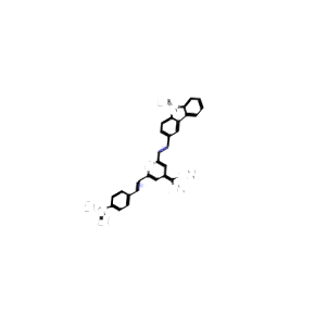 CCN(CC)c1ccc(/C=C/C2=CC(=C(C#N)C#N)C=C(/C=C/c3ccc4c(c3)c3ccccc3n4CC)O2)cc1